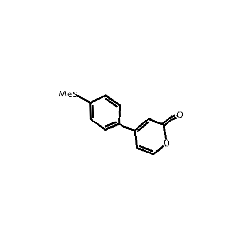 CSc1ccc(-c2ccoc(=O)c2)cc1